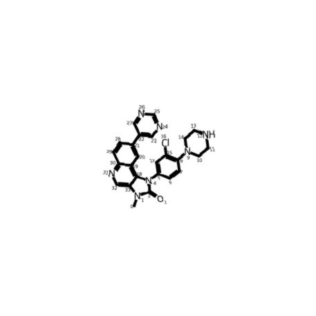 Cn1c(=O)n(-c2ccc(N3CCNCC3)c(Cl)c2)c2c3cc(-c4cncnc4)ccc3ncc21